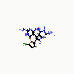 Nc1nc(N)c(-c2c(-c3ccc(Cl)s3)[nH]c3nc(N)[nH]c(=O)c23)c(=O)[nH]1